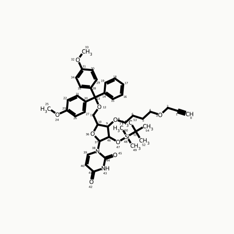 C#CCOCCCCOC1C(COC(c2ccccc2)(c2ccc(OC)cc2)c2ccc(OC)cc2)OC(n2ccc(=O)[nH]c2=O)C1O[Si](C)(C)C(C)(C)C